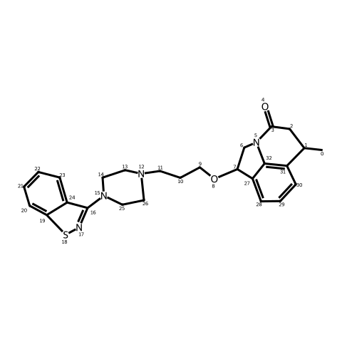 CC1CC(=O)N2CC(OCCCN3CCN(c4nsc5ccccc45)CC3)c3cccc1c32